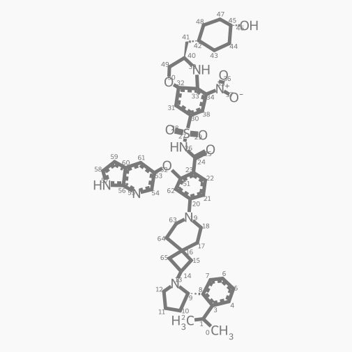 CC(C)c1ccccc1[C@@H]1CCCN1C1CC2(CCN(c3ccc(C(=O)NS(=O)(=O)c4cc5c(c([N+](=O)[O-])c4)N[C@H](C[C@H]4CC[C@@H](O)CC4)CO5)c(Oc4cnc5[nH]ccc5c4)c3)CC2)C1